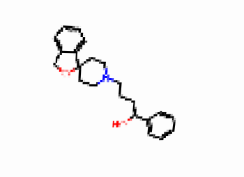 OC(CCCN1CCC2(CC1)OCc1ccccc12)c1ccccc1